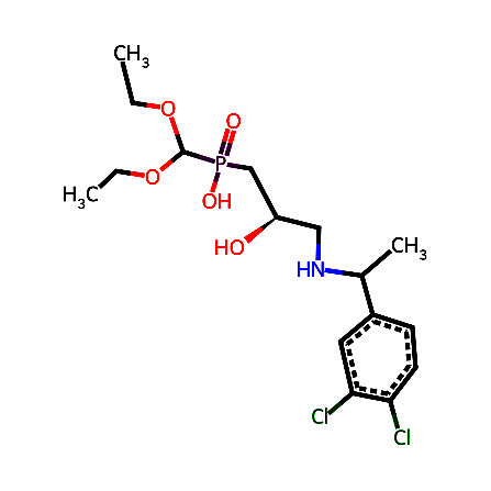 CCOC(OCC)P(=O)(O)C[C@H](O)CNC(C)c1ccc(Cl)c(Cl)c1